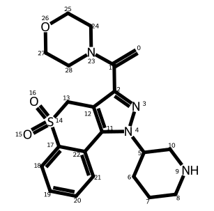 C=C(c1nn(C2CCCNC2)c2c1CS(=O)(=O)c1ccccc1-2)N1CCOCC1